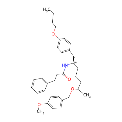 CCCCOc1ccc(C[C@@H](CCCC(C)OCc2ccc(OC)cc2)NC(=O)CCc2ccccc2)cc1